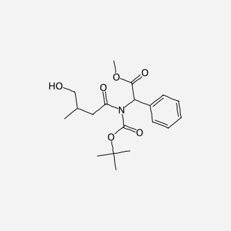 COC(=O)C(c1ccccc1)N(C(=O)CC(C)CO)C(=O)OC(C)(C)C